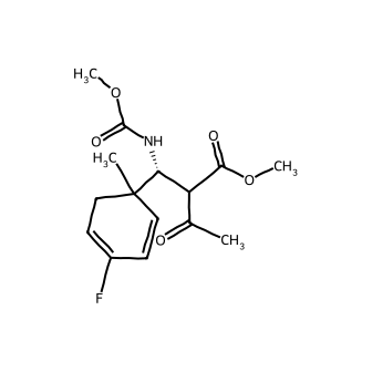 COC(=O)N[C@H](C(C(C)=O)C(=O)OC)C1(C)C=CC(F)=CC1